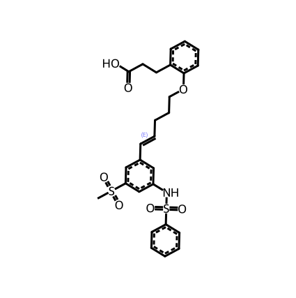 CS(=O)(=O)c1cc(/C=C/CCCOc2ccccc2CCC(=O)O)cc(NS(=O)(=O)c2ccccc2)c1